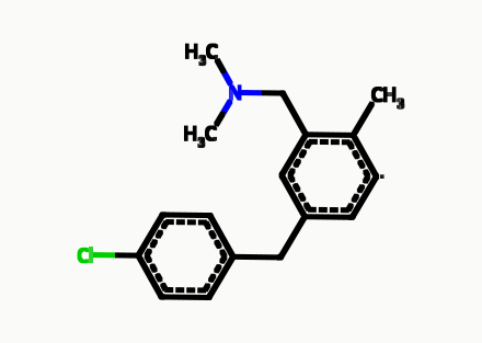 Cc1[c]cc(Cc2ccc(Cl)cc2)cc1CN(C)C